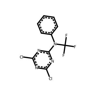 FC(F)(F)N(c1ccccc1)c1nc(Cl)nc(Cl)n1